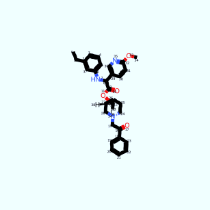 CCc1cccc(NC(C(=O)O[C@H]2C[N+]3(CC(=O)c4ccccc4)CCC2CC3)c2ccc(OC)nc2)c1